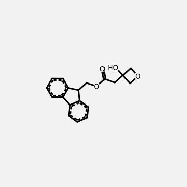 O=C(CC1(O)COC1)OCC1c2ccccc2-c2ccccc21